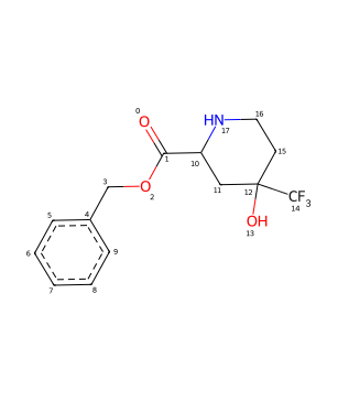 O=C(OCc1ccccc1)C1CC(O)(C(F)(F)F)CCN1